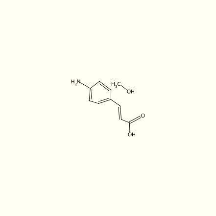 CO.Nc1ccc(/C=C/C(=O)O)cc1